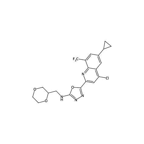 FC(F)(F)c1cc(C2CC2)cc2c(Cl)cc(-c3nnc(NCC4COCCO4)o3)nc12